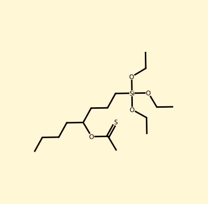 CCCCC(CCC[Si](OCC)(OCC)OCC)OC(C)=S